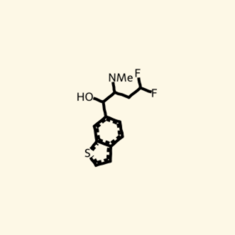 CNC(CC(F)F)C(O)c1ccc2ccsc2c1